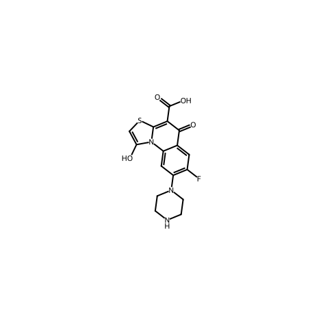 O=C(O)c1c(=O)c2cc(F)c(N3CCNCC3)cc2n2c(O)csc12